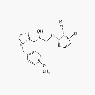 COc1ccc(C[C@@H]2CCCN2CC(O)COc2cccc(Cl)c2C#N)cc1